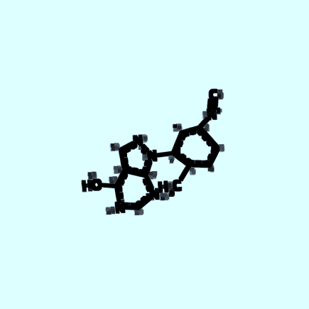 [C-]#[N+]c1ccc(C)c(-n2ncc3c(O)ncnc32)c1